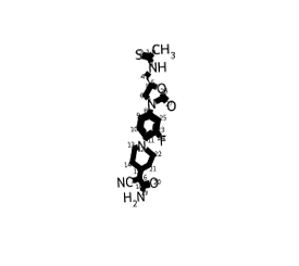 CC(=S)NC[C@H]1CN(c2ccc(N3CCC(C(C#N)C(N)=O)CC3)c(F)c2)C(=O)O1